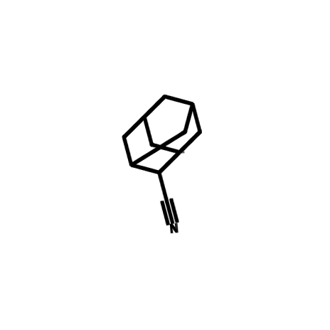 N#CC1[C]2CC3CC(C2)CC1C3